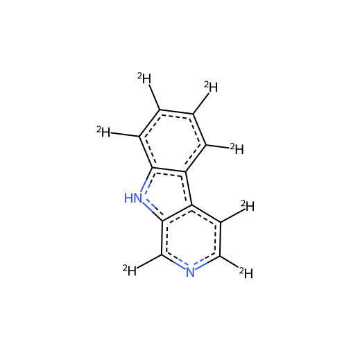 [2H]c1nc([2H])c2[nH]c3c([2H])c([2H])c([2H])c([2H])c3c2c1[2H]